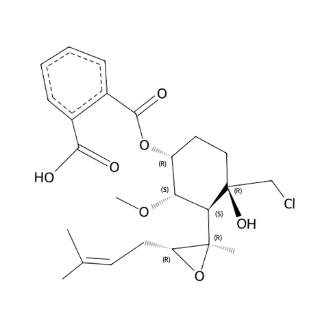 CO[C@@H]1[C@H](OC(=O)c2ccccc2C(=O)O)CC[C@](O)(CCl)[C@H]1[C@@]1(C)O[C@@H]1CC=C(C)C